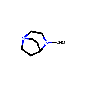 O=CN1CCN2CCC1CC2